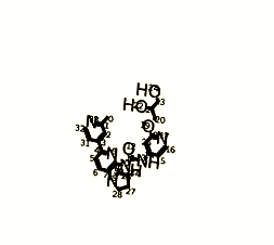 Cc1cc(-c2ccc3c(n2)N(C(=O)Nc2ccnc(OCC(O)CO)c2)[C@H]2CCN3C2)ccn1